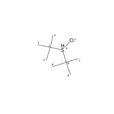 CC(C)(C)[SH](Cl)C(C)(C)C